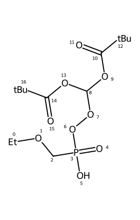 [CH2]COCP(=O)(O)OOC(OC(=O)C(C)(C)C)OC(=O)C(C)(C)C